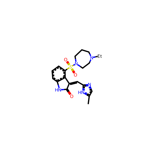 CCN1CCCN(S(=O)(=O)c2cccc3c2/C(=C/c2ncc(C)[nH]2)C(=O)N3)CC1